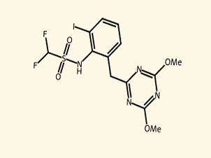 COc1nc(Cc2cccc(I)c2NS(=O)(=O)C(F)F)nc(OC)n1